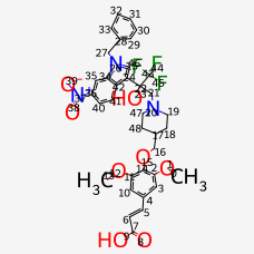 COc1cc(C=CC(=O)O)cc(OC)c1OCC1CCN(CC(O)(c2cn(Cc3ccccc3)c3cc([N+](=O)[O-])ccc23)C(F)(F)F)CC1